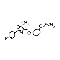 C=CCO[C@@H]1CCC[C@H](OCc2nc(-c3ccc(F)cc3)oc2C)C1